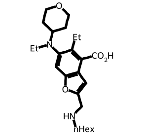 CCCCCCNCc1cc2c(C(=O)O)c(CC)c(N(CC)C3CCOCC3)cc2o1